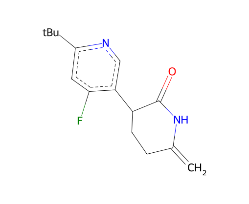 C=C1CCC(c2cnc(C(C)(C)C)cc2F)C(=O)N1